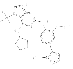 COc1cc(-c2ccnn2C)ccc1Nc1nc(NC2CCCC2)c2c(C(F)(F)F)c[nH]c2n1